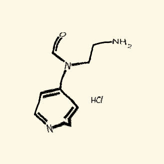 Cl.NCCN(C=O)c1ccncc1